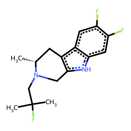 C[C@@H]1Cc2c([nH]c3cc(F)c(F)cc23)CN1CC(C)(C)F